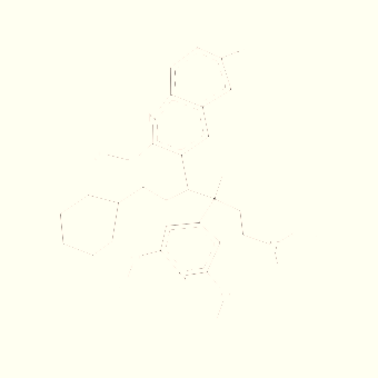 COc1cc(C(O)(CCN(C)C)C(CCC2CCCCC2)c2cc3cc(Br)ccc3nc2OC)cc(OC)n1